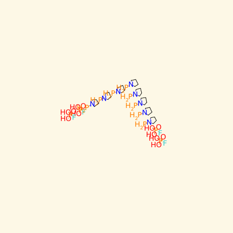 O=P(O)(O)F.O=P(O)(O)F.O=P(O)(O)F.O=P(O)(O)F.PN1CCCC1.PN1CCCC1.PN1CCCC1.PN1CCCC1.PN1CCCC1.PN1CCCC1.PN1CCCC1.PN1CCCC1